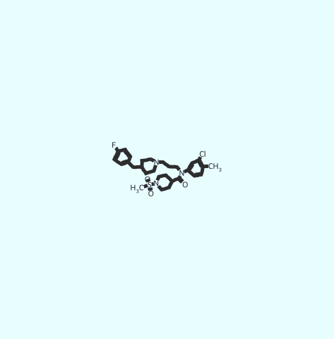 Cc1ccc(N(CCCN2CCC(Cc3ccc(F)cc3)CC2)C(=O)C2CCN(S(C)(=O)=O)CC2)cc1Cl